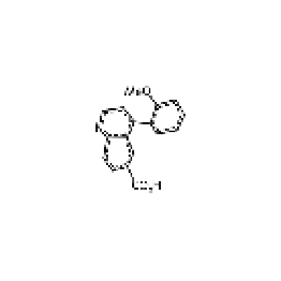 COc1ccccc1-c1ccnc2ccc(C(=O)O)cc12